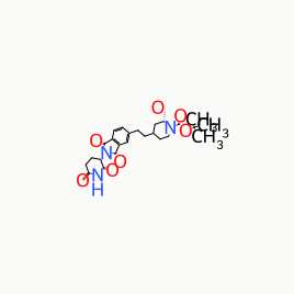 CC(C)(C)OC(=O)N1CCC(CCc2ccc3c(c2)C(=O)N(C2CCC(=O)NC2=O)C3=O)C[C@@H]1C=O